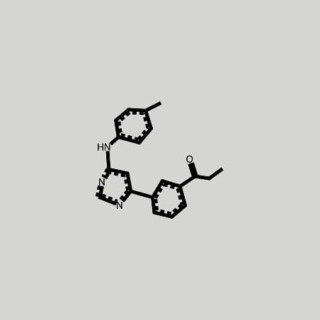 CCC(=O)c1cccc(-c2cc(Nc3ccc(C)cc3)ncn2)c1